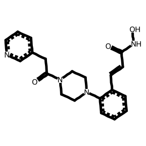 O=C(C=Cc1ccccc1N1CCN(C(=O)Cc2cccnc2)CC1)NO